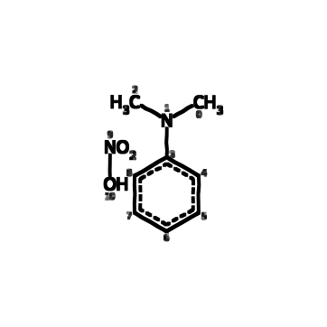 CN(C)c1ccccc1.O=[N+]([O-])O